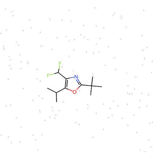 CC(C)c1oc(C(C)(C)C)nc1C(F)F